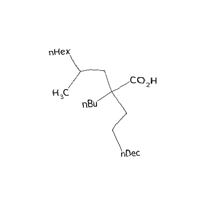 CCCCCCCCCCCCC(CCCC)(CC(C)CCCCCC)C(=O)O